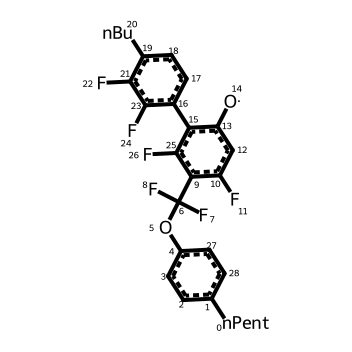 CCCCCc1ccc(OC(F)(F)c2c(F)cc([O])c(-c3ccc(CCCC)c(F)c3F)c2F)cc1